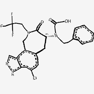 O=C1[C@H](N(Cc2ccccc2)C(=O)O)Cc2cc(Cl)c3[nH]ncc3c2CN1CC(F)(F)F